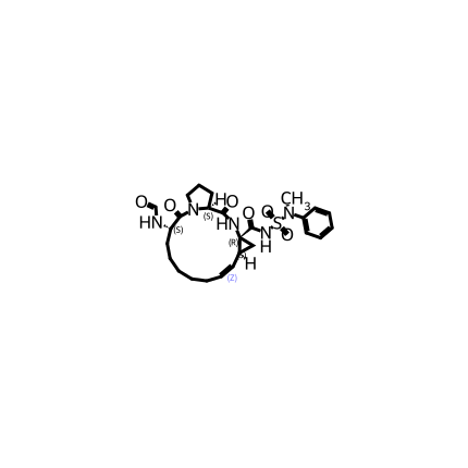 CN(c1ccccc1)S(=O)(=O)NC(=O)[C@@]12C[C@H]1/C=C\CCCCC[C@H](NC=O)C(=O)N1CCC[C@H]1C(=O)N2